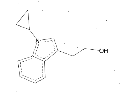 OCCc1cn(C2CC2)c2ccccc12